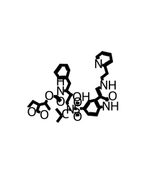 CC(C)CN(CC(O)C(Cc1ccccc1)NC(=O)OC1COC2OCCC12)S(=O)(=O)c1ccc2c(c1)C(=CNCCc1ccccn1)C(=O)N2